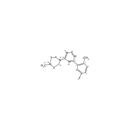 Cc1ccc(F)cc1-c1ncnc(N2CCN(C)CC2)n1